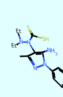 CCN(CC)N(C(=S)S)c1c(C)nn(-c2ccccc2)c1N